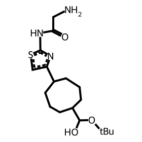 CC(C)(C)OC(O)C1CCCC(c2csc(NC(=O)CN)n2)CCC1